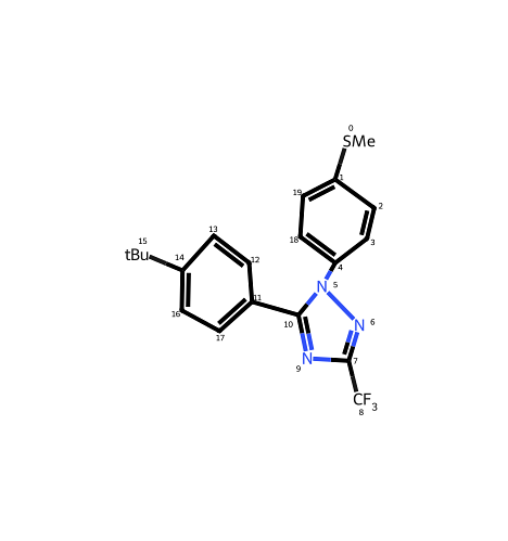 CSc1ccc(-n2nc(C(F)(F)F)nc2-c2ccc(C(C)(C)C)cc2)cc1